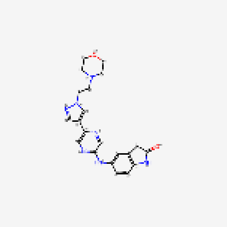 O=C1Cc2cc(Nc3cnc(-c4cnn(CCN5CCOCC5)c4)cn3)ccc2N1